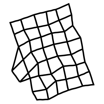 C1C2C3C4C5CC6C78C9C%10C7%11C7CC%12C%13C%14C%15CC%16C%17C%18C%19C%20C1C21C32C43C56C84C95C%106C%118C%127C%137C%149C%15%16C%17%10C%18%11C%19%12C%201C21C34C52C%121C%111C9%10C78C612